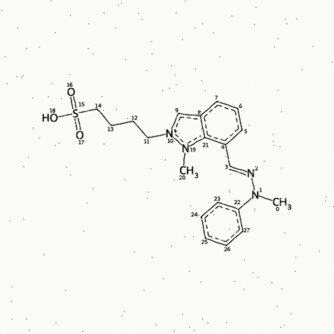 CN(N=Cc1cccc2c[n+](CCCCS(=O)(=O)O)n(C)c12)c1ccccc1